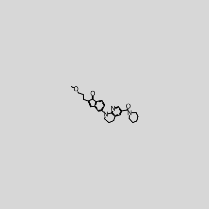 COCCCC1=Cc2cc(N3CCCc4cc(C(=O)N5CCCCC5)cnc43)ccc2C1=O